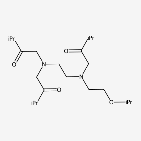 CC(C)OCCN(CCN(CC(=O)C(C)C)CC(=O)C(C)C)CC(=O)C(C)C